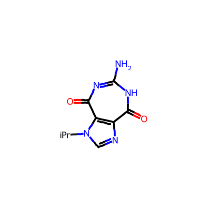 CC(C)n1cnc2c(=O)[nH]c(N)nc(=O)c21